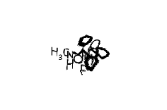 CNC[C@@H](O)[C@H](c1ccccc1)N1C(=O)C2(CCCCC2)c2ccc(F)cc21